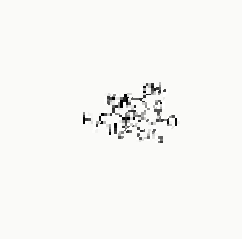 C=C(C)C(=O)OC1(C(C)C)CC(=O)OC1C(C)C